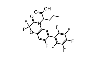 CCCC(C(=O)O)N1C(=O)C(F)(F)Oc2cc(F)c(-c3c(F)c(F)c(F)c(F)c3F)cc21